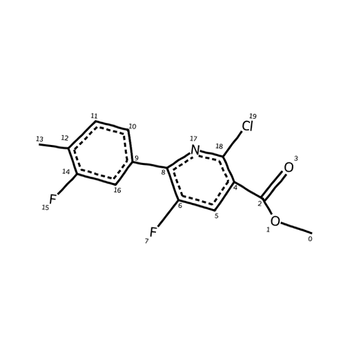 COC(=O)c1cc(F)c(-c2ccc(C)c(F)c2)nc1Cl